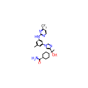 Cc1cc(Nc2nccc(C(F)(F)F)n2)cc(-n2cnc(C(C)(O)[C@H]3CC[C@H](C(N)=O)CC3)c2)c1